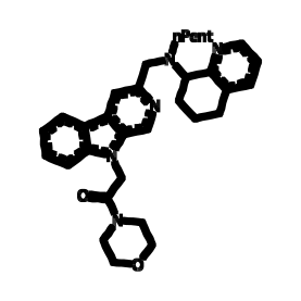 CCCCCN(Cc1cc2c3ccccc3n(CC(=O)N3CCOCC3)c2cn1)C1CCCc2cccnc21